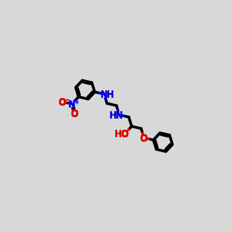 O=[N+]([O-])c1cccc(NCCNCC(O)COc2ccccc2)c1